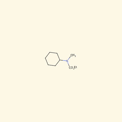 CCOC(=O)N(C)C1CCCCC1